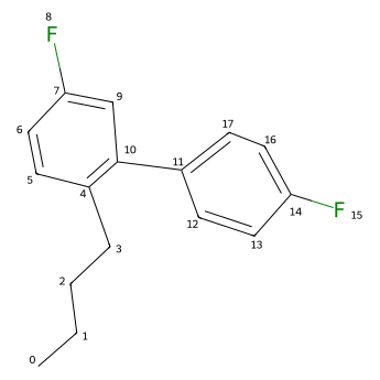 CCCCc1ccc(F)cc1-c1ccc(F)cc1